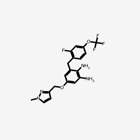 Cn1ccc(COc2cc(N)c(N)c(Cc3ccc(OC(F)(F)F)cc3F)c2)n1